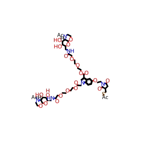 CC(=O)SCC1CC(=O)N(CCOc2ccc3c(c2)c(C(=O)OCCOCCOCC(=O)NCC2OC4OCCN(C(C)=O)[C@@H]4[C@@H](O)[C@H]2O)cn3CC(=O)OCCOCCOCC(=O)NC[C@H]2OC3OCCN(C(C)=O)[C@@H]3[C@@H](O)[C@H]2O)C1=O